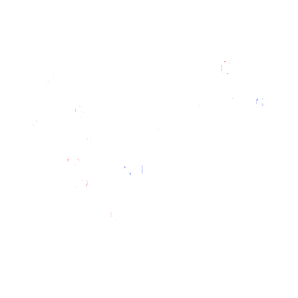 COC(=O)NC(CC/C=C/C(=O)N(C)C)C(=O)OC(=O)OC